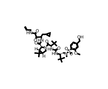 C=CCNC(=O)C(=O)C(CC1CC1)NC(=O)[C@@H]1[C@@H]2[C@H](CN1C(=O)[C@@H](NC(=O)N[C@H](CN(C)S(=O)(=O)c1ccc(CO)cc1OC)C(C)(C)C)C(C)(C)C)C2(C)C